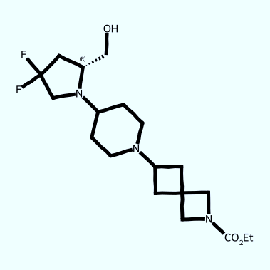 CCOC(=O)N1CC2(CC(N3CCC(N4CC(F)(F)C[C@@H]4CO)CC3)C2)C1